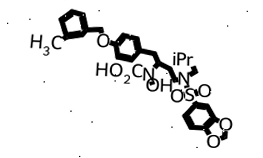 Cc1cccc(COc2ccc(CC(CCN(CC(C)C)S(=O)(=O)c3ccc4c(c3)OCO4)N(O)C(=O)O)cc2)c1